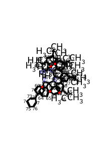 CC(C)(C)c1ccc(C2=C(c3ccc(C(C)(C)C)cc3C(C)(C)C)/C(c3ccc(C(C)(C)C)cc3C(C)(C)C)=C(/c3ccc(C(C)(C)C)cc3C(C)(C)C)C(c3ccccc3)(c3ccccc3)/C(c3ccc(-c4ccccc4)cc3)=P/P=C\2)c(C(C)(C)C)c1